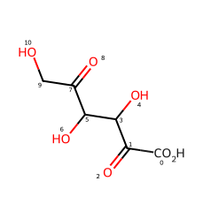 O=C(O)C(=O)C(O)C(O)C(=O)CO